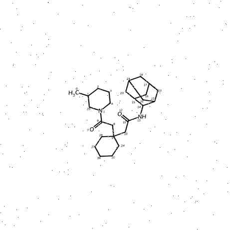 CC1CCCN(C(=O)CC2(CC(=O)NC3C4CC5CC(C4)CC3C5)CCCCC2)C1